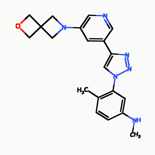 CNc1ccc(C)c(-n2cc(-c3cncc(N4CC5(COC5)C4)c3)nn2)c1